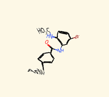 CC(=O)Nc1ccc(C(=O)Nc2cc(Br)ccc2NC(=O)O)cc1